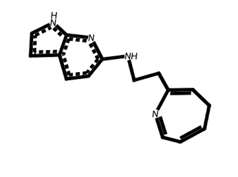 C1=CCC=C(CCNc2ccc3cc[nH]c3n2)N=C1